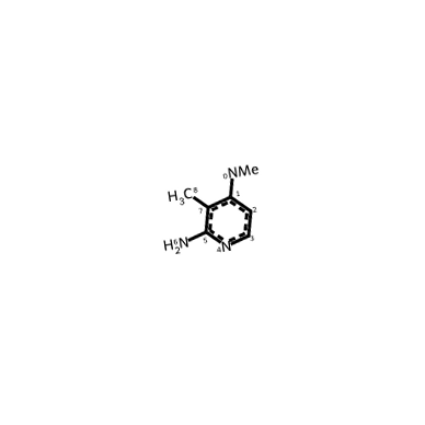 CNc1ccnc(N)c1C